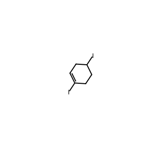 IC1=CCC(I)CC1